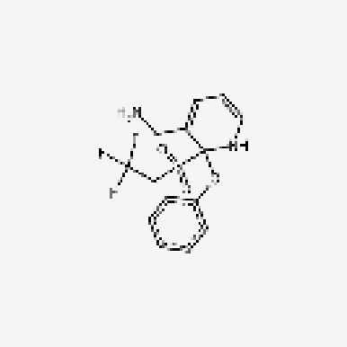 NCC1=CC=CNC1(Oc1ccccc1)S(=O)(=O)CC(F)(F)F